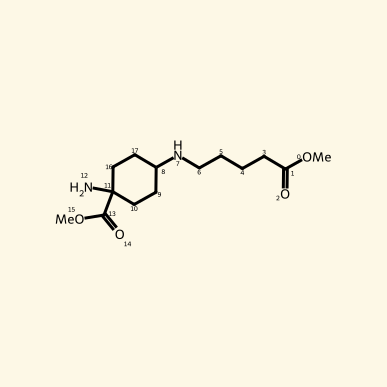 COC(=O)CCCCNC1CCC(N)(C(=O)OC)CC1